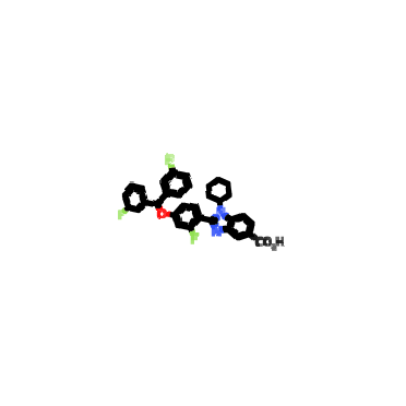 O=C(O)c1ccc2c(c1)nc(-c1ccc(OC(c3cccc(F)c3)c3cccc(F)c3)cc1F)n2C1CCCCC1